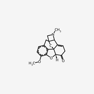 COc1ccc2c3c1O[C@H]1C(=O)CC=C4C5N(C)CC5(C2)C[C@]431